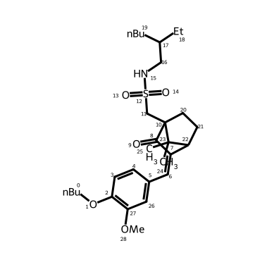 CCCCOc1ccc(C=C2C(=O)C3(CS(=O)(=O)NCC(CC)CCCC)CCC2C3(C)C)cc1OC